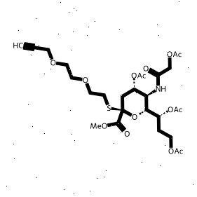 C#CCOCCOCCS[C@@]1(C(=O)OC)C[C@H](OC(C)=O)[C@@H](NC(=O)COC(C)=O)[C@H]([C@@H](CCOC(C)=O)OC(C)=O)O1